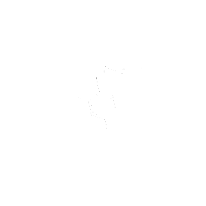 C=N/N=C\c1ccc(OC(C)(C)C)cc1C